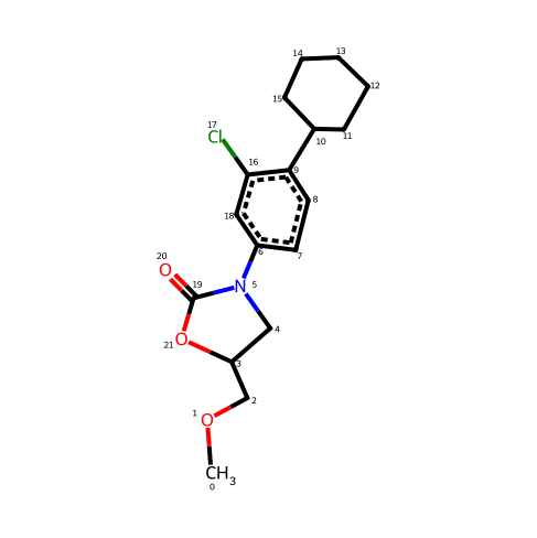 COCC1CN(c2ccc(C3CCCCC3)c(Cl)c2)C(=O)O1